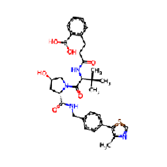 Cc1ncsc1-c1ccc(CNC(=O)[C@@H]2C[C@@H](O)CN2C(=O)[C@@H](NC(=O)CCc2ccccc2B(O)O)C(C)(C)C)cc1